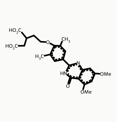 COc1cc(OC)c2c(=O)[nH]c(-c3cc(C)c(OCCC(CC(=O)O)C(=O)O)c(C)c3)nc2c1